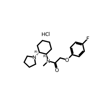 CN(C(=O)COc1ccc(F)cc1)[C@@H]1CCCC[C@H]1N1CCCC1.Cl